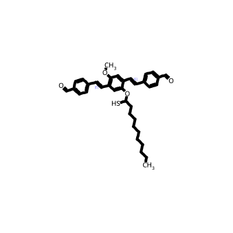 CCCCCCCCCCC(S)Oc1cc(/C=C/c2ccc(C=O)cc2)c(OC)cc1/C=C/c1ccc(C=O)cc1